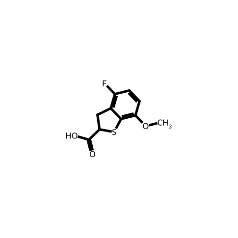 COc1ccc(F)c2c1SC(C(=O)O)C2